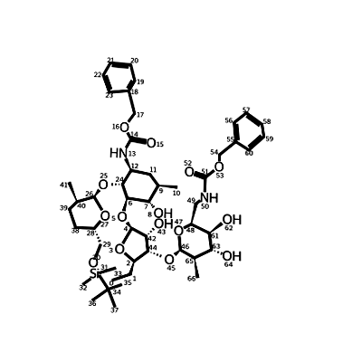 CC[C@H]1O[C@@H](O[C@@H]2[C@@H](O)[C@H](C)C[C@H](NC(=O)OCc3ccccc3)[C@H]2O[C@H]2O[C@H](CO[Si](C)(C)C(C)(C)C)CC[C@H]2C)[C@H](O)[C@@H]1O[C@H]1O[C@@H](CNC(=O)OCc2ccccc2)[C@@H](O)[C@H](O)[C@H]1C